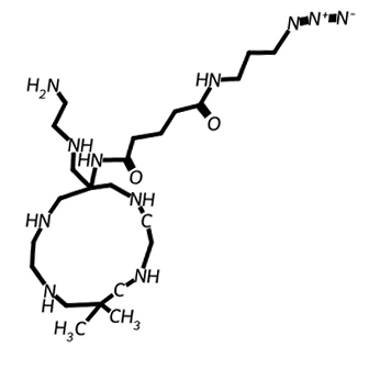 CC1(C)CNCCNCC(CNCCN)(NC(=O)CCCC(=O)NCCCN=[N+]=[N-])CNCCNC1